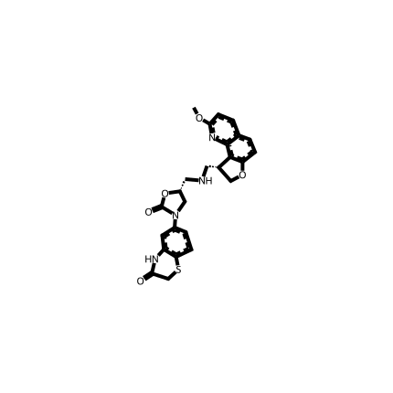 COc1ccc2ccc3c(c2n1)[C@@H](CNC[C@@H]1CN(c2ccc4c(c2)NC(=O)CS4)C(=O)O1)CO3